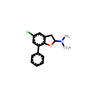 CN(C(=O)O)C1Cc2cc(Cl)cc(-c3ccccc3)c2O1